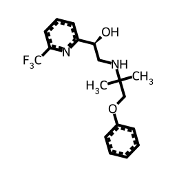 CC(C)(COc1ccccc1)NC[C@H](O)c1cccc(C(F)(F)F)n1